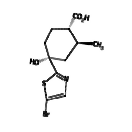 C[C@H]1C[C@@](O)(c2ncc(Br)s2)CC[C@@H]1C(=O)O